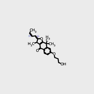 C/C=C\C=C1\OC2=C(C(=O)c3ccc(OCCCO)cc3C2(C)C)C1C